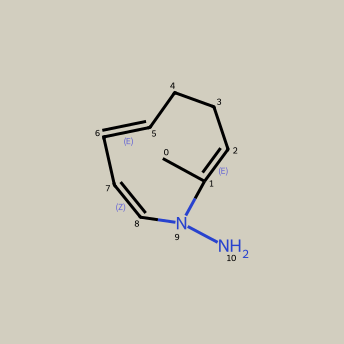 C/C1=C\CC/C=C/C=C\N1N